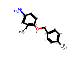 Cc1cc(N)ccc1OCc1ccc(C(F)(F)F)cc1